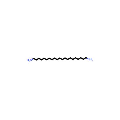 NCCCCCCCCCCCCCCCCCCCCCN